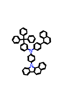 c1ccc(C(c2ccccc2)(c2ccccc2)c2cccc(N(c3ccc(-c4cccc5ccccc45)cc3)c3ccc(-n4c5ccccc5c5ccc6ccccc6c54)cc3)c2)cc1